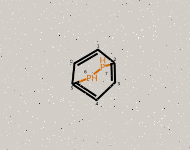 c1cc2ccc1PP2